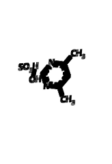 Cc1cc(C)ncn1.O=S(=O)(O)O